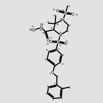 Cc1ccccc1COc1ccc(S(=O)(=O)N2CCN(S(C)(=O)=O)C(C)(C)C2C(=O)NO)cc1